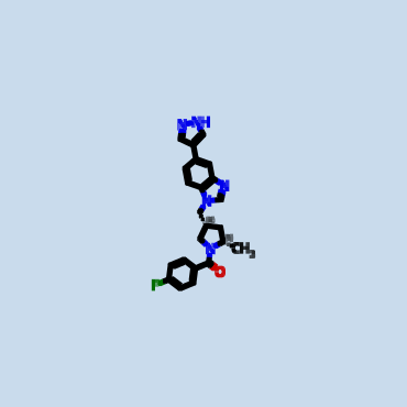 C[C@H]1C[C@@H](Cn2cnc3cc(-c4cn[nH]c4)ccc32)CN1C(=O)c1ccc(F)cc1